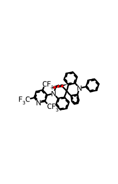 FC(F)(F)c1cc(C(F)(F)F)c(N2c3ccccc3C3(c4ccccc4N(c4ccccc4)c4ccccc43)c3ccccc32)c(C(F)(F)F)n1